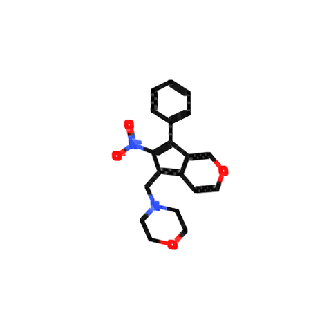 O=[N+]([O-])c1c(CN2CCOCC2)c2ccocc-2c1-c1ccccc1